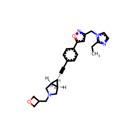 CCc1nccn1Cc1cc(-c2ccc(C#C[C@@H]3[C@H]4CN(CC5COC5)C[C@@H]34)cc2)on1